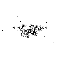 CC(C)C[C@H](NC(=O)[C@@H]1CCCN1C(=O)[C@@H]1CCCN1C(=O)[C@H](Cc1ccccc1)NC(=O)[C@@H]1CCCN1C(=O)[C@@H](N)Cc1ccc(O)cc1)C(=O)O